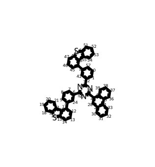 c1cc(-c2nc(-c3cccc(-c4cccc5sc6ccccc6c45)c3)nc(-c3cc4ccccc4c4ccccc34)n2)cc(-c2cccc3sc4ccccc4c23)c1